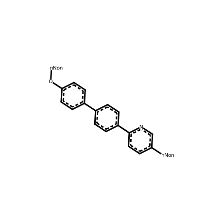 CCCCCCCCCOc1ccc(-c2ccc(-c3ccc(CCCCCCCCC)cn3)cc2)cc1